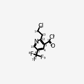 O=C(Cl)c1cc(C(F)(F)F)cnc1CCCl